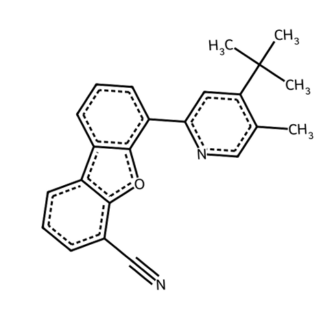 Cc1cnc(-c2cccc3c2oc2c(C#N)cccc23)cc1C(C)(C)C